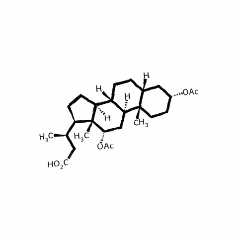 CC(=O)O[C@@H]1CC[C@@]2(C)[C@H](CC[C@@H]3[C@@H]2C[C@H](OC(C)=O)[C@]2(C)[C@@H]([C@H](C)CC(=O)O)CC[C@@H]32)C1